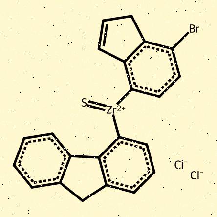 [Cl-].[Cl-].[S]=[Zr+2]([c]1ccc(Br)c2c1C=CC2)[c]1cccc2c1-c1ccccc1C2